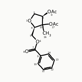 CC(=O)O[C@@H]1CO[C@H](COC(=O)c2ccccc2)C1(C)OC(C)=O